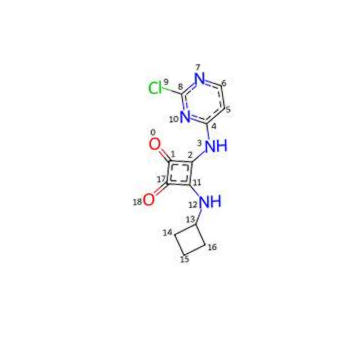 O=c1c(Nc2ccnc(Cl)n2)c(NC2CCC2)c1=O